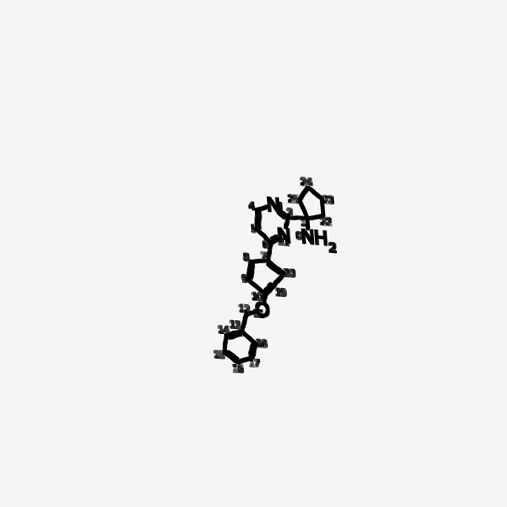 NC1(c2nccc(-c3ccc(OCc4ccccc4)cc3)n2)CCCC1